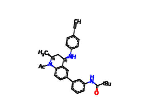 C#Cc1ccc(N[C@@H]2C[C@H](C)N(C(C)=O)c3ccc(-c4cccc(NC(=O)C(C)(C)C)c4)cc32)cc1